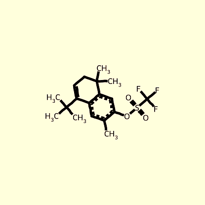 Cc1cc2c(cc1OS(=O)(=O)C(F)(F)F)C(C)(C)CC=C2C(C)(C)C